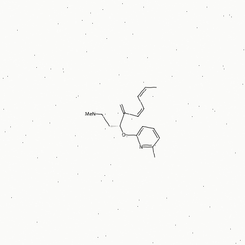 C=C(/C=C\C=C/C)[C@@H](CCNC)Oc1cccc(C)n1